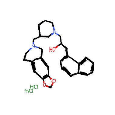 Cl.Cl.OC(Cc1cccc2ccccc12)CN1CCCC(CN2CCc3cc4c(cc3C2)OCO4)C1